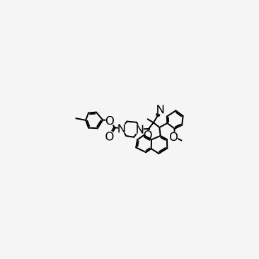 COc1ccccc1C(c1cccc2ccccc12)C(C)(C#N)C(=O)N1CCN(C(=O)Oc2ccc(C)cc2)CC1